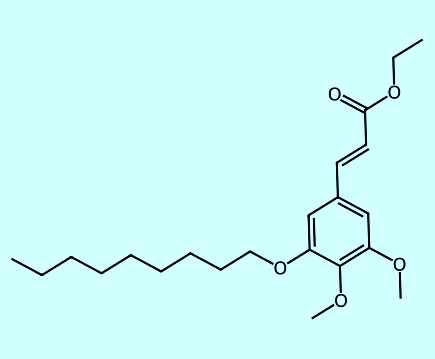 CCCCCCCCCOc1cc(C=CC(=O)OCC)cc(OC)c1OC